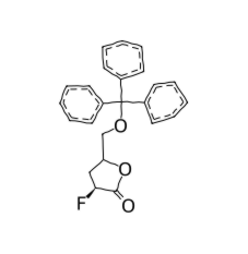 O=C1OC(COC(c2ccccc2)(c2ccccc2)c2ccccc2)C[C@@H]1F